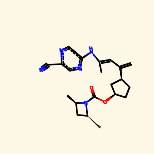 C=C(/C=C(\C)Nc1cnc(C#N)cn1)[C@H]1CC[C@@H](OC(=O)N2[C@H](C)C[C@H]2C)C1